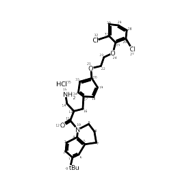 CC(C)(C)c1ccc2c(c1)CCCN2C(=O)C(CN)Cc1ccc(OCCOc2c(Cl)cccc2Cl)cc1.Cl